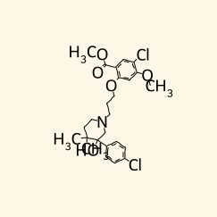 COC(=O)c1cc(Cl)c(OC)cc1OCCCN1CCC(C)(C)C(O)(c2ccc(Cl)cc2)C1